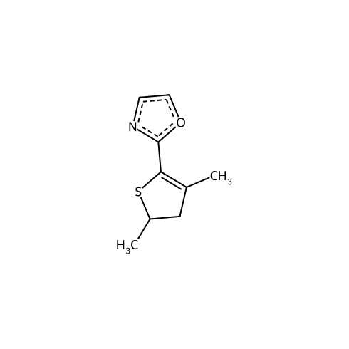 CC1=C(c2ncco2)SC(C)C1